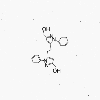 OCc1cc(CCc2cc(CO)nn2-c2ccccc2)n(-c2ccccc2)n1